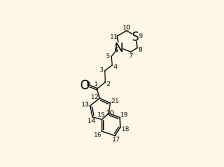 O=C(CCCCN1CCSCC1)c1ccc2ccccc2c1